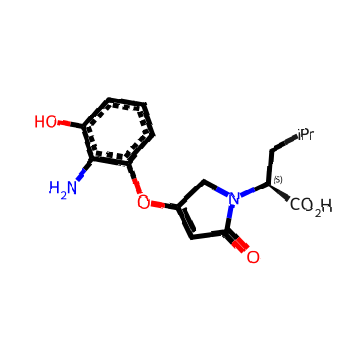 CC(C)C[C@@H](C(=O)O)N1CC(Oc2cccc(O)c2N)=CC1=O